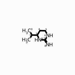 CC(C)C1CCNC(=N)N1